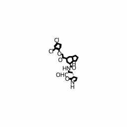 O=C[C@H](C[C@@H]1CCNC1=O)NC(=O)[C@H]1CC(C(=O)COc2ccc(Cl)cc2Cl)CC2CCC[C@@H]21